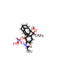 COC1(c2cc(OP(C)(=O)O)c3nc(C(C)(C)C)sc3c2)OOC12C1CC3CC(C1)CC2C3